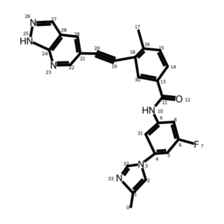 Cc1cn(-c2cc(F)cc(NC(=O)c3ccc(C)c(C#Cc4cnc5[nH]ncc5c4)c3)c2)cn1